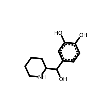 Oc1ccc(C(O)C2CCCCN2)cc1O